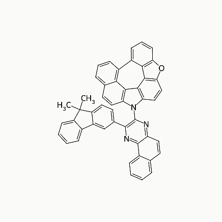 CC1(C)c2ccccc2-c2cc(-c3nc4c(ccc5ccccc54)nc3-n3c4ccc5cccc6c5c4c4c5c(ccc43)oc3cccc-6c35)ccc21